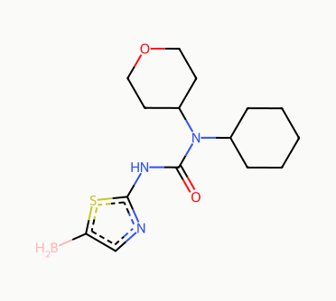 Bc1cnc(NC(=O)N(C2CCCCC2)C2CCOCC2)s1